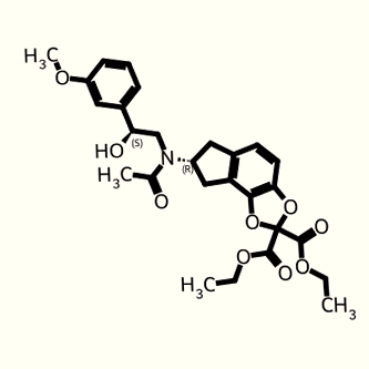 CCOC(=O)C1(C(=O)OCC)Oc2ccc3c(c2O1)C[C@H](N(C[C@@H](O)c1cccc(OC)c1)C(C)=O)C3